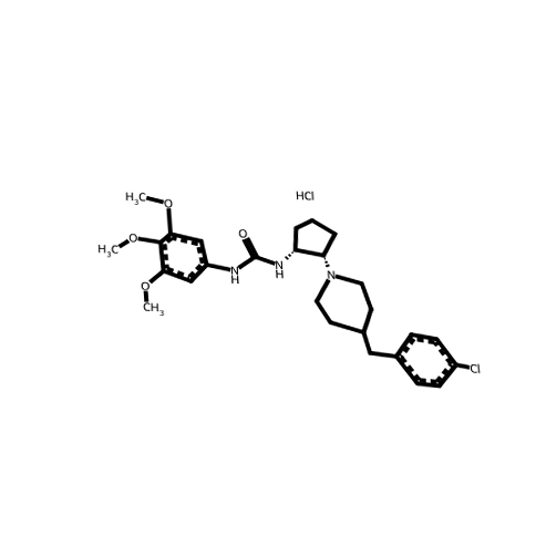 COc1cc(NC(=O)N[C@@H]2CCC[C@@H]2N2CCC(Cc3ccc(Cl)cc3)CC2)cc(OC)c1OC.Cl